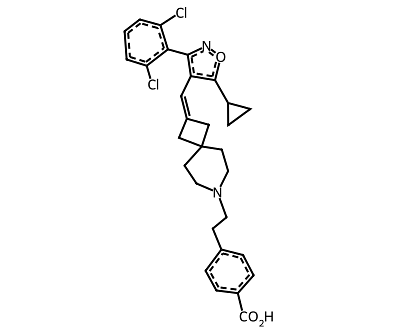 O=C(O)c1ccc(CCN2CCC3(CC2)CC(=Cc2c(-c4c(Cl)cccc4Cl)noc2C2CC2)C3)cc1